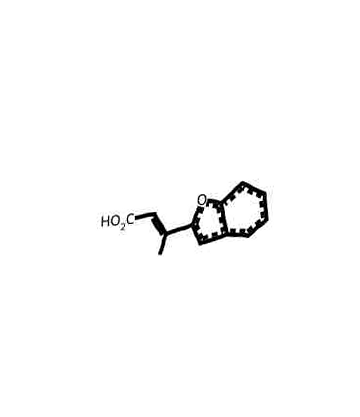 C/C(=C\C(=O)O)c1cc2ccccc2o1